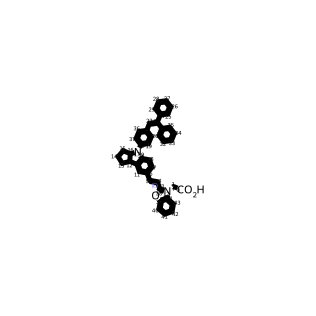 O=C(O)C[n+]1c(/C=C/c2ccc3c(c2)C2CCCC2N3c2ccc(C=C(c3ccccc3)c3ccccc3)cc2)oc2ccccc21